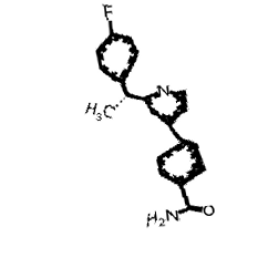 C[C@H](c1ccc(F)cc1)c1cc(-c2ccc(C(N)=O)cc2)ccn1